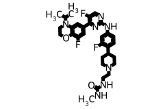 CNC(=O)NCCN1CCC(c2ccc(Nc3ncc(F)c(-c4cc(F)c5c(c4)N(C(C)C)CCO5)n3)cc2F)CC1